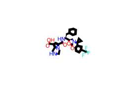 O=C(O)c1cc(C(=O)N[C@@H](Cc2ccccc2)[C@H]2CN(C3(c4cccc(C(F)(F)F)c4)CC3)C(=O)O2)n2c1CNCC2